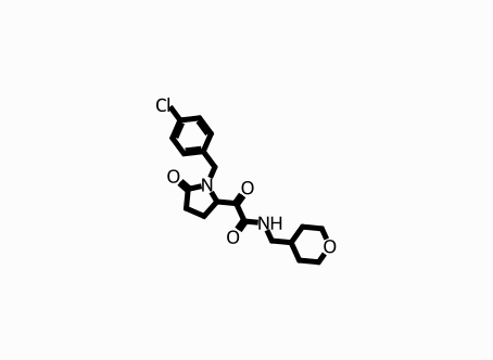 O=C(NCC1CCOCC1)C(=O)C1CCC(=O)N1Cc1ccc(Cl)cc1